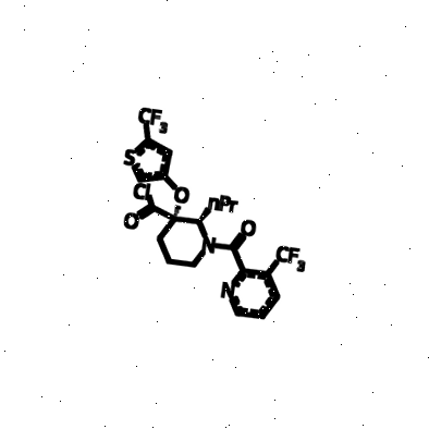 CCC[C@H]1N(C(=O)c2ncccc2C(F)(F)F)CCC[C@@]1(Oc1csc(C(F)(F)F)c1)C(=O)Cl